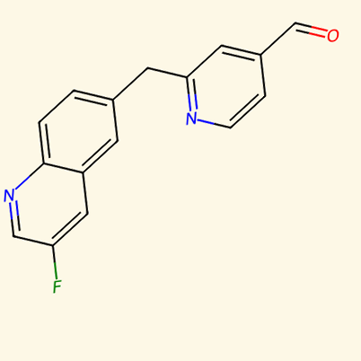 O=Cc1ccnc(Cc2ccc3ncc(F)cc3c2)c1